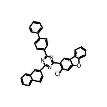 Clc1cc2oc3ccccc3c2cc1-c1nc(-c2ccc(-c3ccccc3)cc2)nc(-c2ccc3ccccc3c2)n1